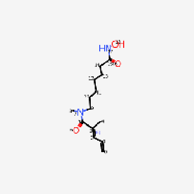 C=C/C=C(\C)C(=O)N(C)CCCCCCC(=O)NO